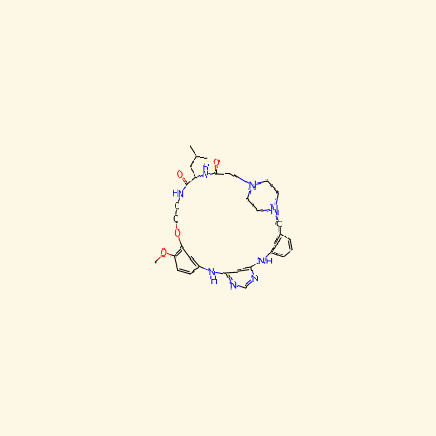 COc1ccc2cc1OCCNC(=O)C(CC(C)C)NC(=O)CN1CCN(CC1)Cc1cccc(c1)Nc1cc(ncn1)N2